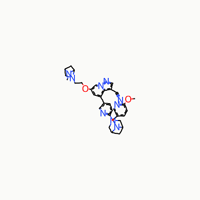 COc1ccc(CN2C3CC2CN(c2ccc(-c4cc(OCCN5CC6CC5N6C)cn5ncc(C#N)c45)cn2)C3)cn1